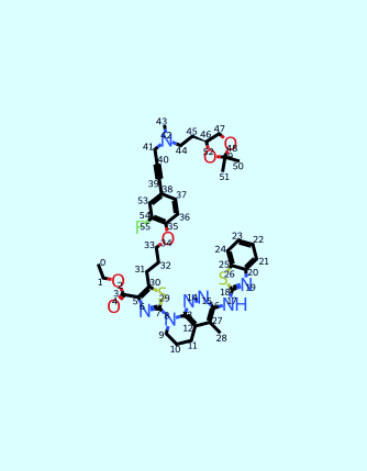 CCOC(=O)c1nc(N2CCCc3c2nnc(Nc2nc4ccccc4s2)c3C)sc1CCCOc1ccc(C#CCN(C)CC[C@H]2COC(C)(C)O2)cc1F